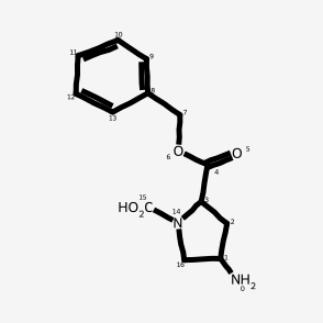 NC1CC(C(=O)OCc2ccccc2)N(C(=O)O)C1